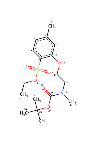 CCOS(=O)(=O)c1ccc(C)cc1OCCN(C)C(=O)OC(C)(C)C